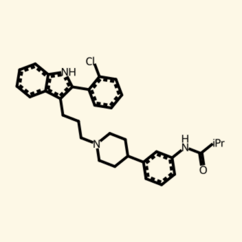 CC(C)C(=O)Nc1cccc(C2CCN(CCCc3c(-c4ccccc4Cl)[nH]c4ccccc34)CC2)c1